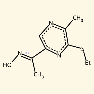 CCSc1nc(/C(C)=N/O)cnc1C